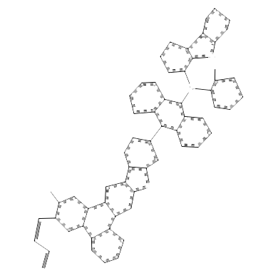 C=C/C=C\c1cc2c3ccccc3c3cc4oc5cc(-c6c7ccccc7c(N(c7ccccc7C)c7cccc8c7oc7ccccc78)c7ccccc67)ccc5c4cc3c2cc1C